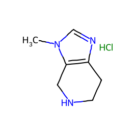 Cl.Cn1cnc2c1CNCC2